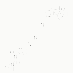 O=C1CC[C@H](N2Cc3c(ccc4c3OCC43CCN(CCN4CCC5(CC4)CC(N4CCC(c6ccc7c(c6)-n6c(nc(=O)c8c(Cl)cccc86)C76CCCCC6)CC4)C5)CC3)C2=O)C(=O)N1